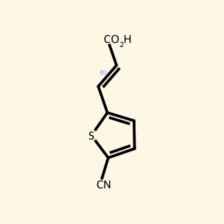 N#Cc1ccc(/C=C/C(=O)O)s1